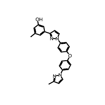 Cc1cc(O)cc(-c2ccn(-c3ccc(Oc4ccc(-n5ccc(C)n5)cc4)cc3)n2)c1